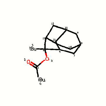 CCC(C)C(=O)OC1(C(C)(C)C)C2CC3CC(C2)CC1C3